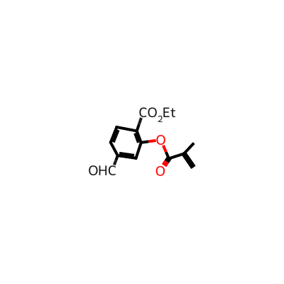 C=C(C)C(=O)Oc1cc(C=O)ccc1C(=O)OCC